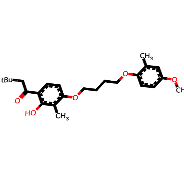 Cc1cc(OC=O)ccc1OCCCCOc1ccc(C(=O)CC(C)(C)C)c(O)c1C